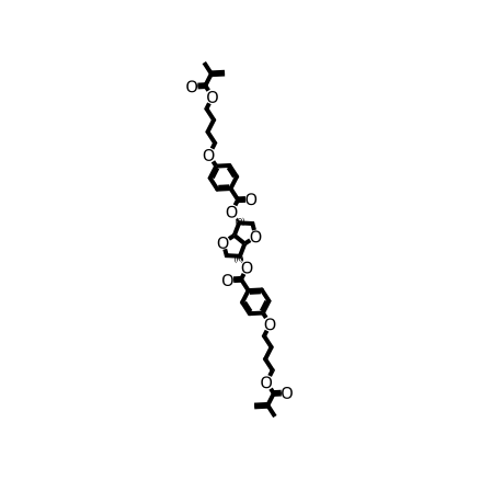 C=C(C)C(=O)OCCCCOc1ccc(C(=O)O[C@@H]2COC3C2OC[C@H]3OC(=O)c2ccc(OCCCCOC(=O)C(=C)C)cc2)cc1